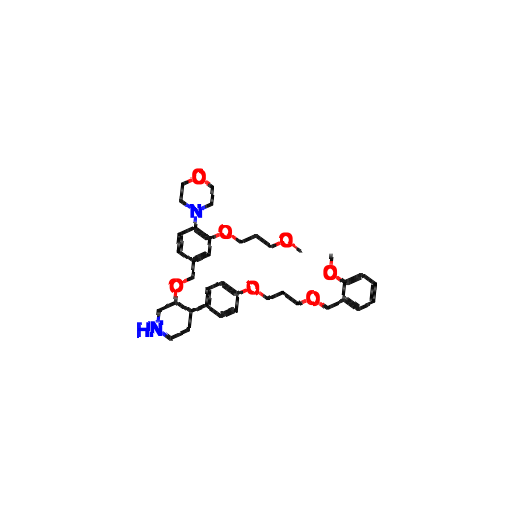 COCCCOc1cc(COC2CNCCC2c2ccc(OCCCOCc3ccccc3OC)cc2)ccc1N1CCOCC1